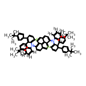 [2H]c1c([2H])c([2H])c(N(c2c(F)ccc(-c3ccc(C(C)(C)C)cc3)c2-c2ccc(C(C)(C)C)cc2)c2ccc3ccc4c(N(c5c([2H])c([2H])c([2H])c([2H])c5[2H])c5c(F)ccc(-c6ccc(C(C)(C)C)cc6)c5-c5ccc(C(C)(C)C)cc5)ccc5ccc2c3c54)c([2H])c1[2H]